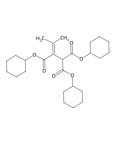 CC(C)=C(C(=O)OC1CCCCC1)C(C(=O)OC1CCCCC1)C(=O)OC1CCCCC1